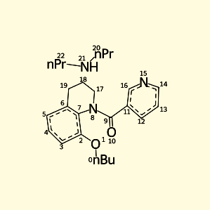 CCCCOc1cccc2c1N(C(=O)c1cccnc1)CCC2.CCCNCCC